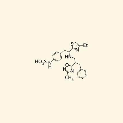 CCc1csc(C(Cc2ccc(NS(=O)(=O)O)cc2)NCC(Cc2ccccc2)c2nc(C)no2)n1